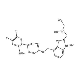 COc1cc(F)c(F)cc1-c1ccc(OCc2cccc3c(=O)n(C[C@H](O)CO)[nH]c23)cc1